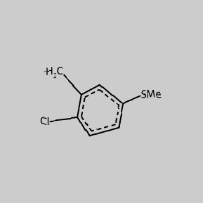 [CH2]c1cc(SC)ccc1Cl